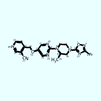 CC(C)c1noc(N2CCN(c3ncc(OCc4ccncc4C#N)cn3)C(C)C2)n1